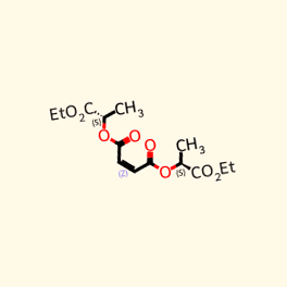 CCOC(=O)[C@H](C)OC(=O)/C=C\C(=O)O[C@@H](C)C(=O)OCC